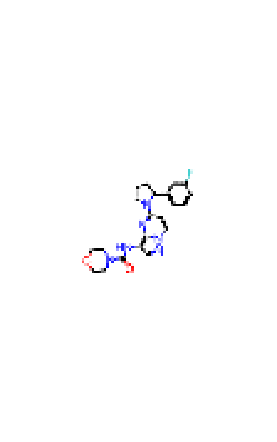 O=C(Nc1cnn2ccc(N3CCCC3c3cccc(F)c3)nc12)N1CCOCC1